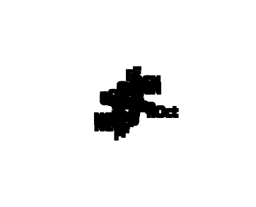 CCCCCCCCOc1ccc(C2(c3ccc(OCCCCCCCC)cc3)c3cc4c(cc3-c3cc(/C=C5\C(=O)c6cc(F)c(F)cc6C5=C(C#N)C#N)sc32)C(c2ccc(OCCCCCCCC)cc2)(c2ccc(OCCCCCCCC)cc2)c2sc(/C=C3\C(=O)c5cc(F)c(F)cc5C3=C(C#N)C#N)cc2-4)cc1